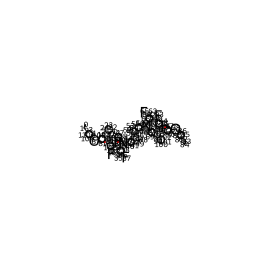 C=Cc1ccc(Oc2ccc(C3(c4ccc(F)cc4F)C4=C(C=CCC4)c4ccc(N(c5ccc(C)c(F)c5)c5ccc6c(c5)C5(CC6(C)C)CC(C)(C)c6ccc(N(c7ccc(C)c(F)c7)c7ccc8c(c7)C(c7ccc(Oc9ccc(C=C)cc9)cc7)(c7ccc(F)cc7F)C7=C8C=CCC7)cc65)cc43)cc2)cc1